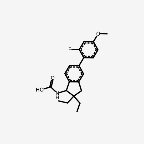 CCC1(CC)Cc2cc(-c3ccc(OC)cc3F)ccc2C1NC(=O)O